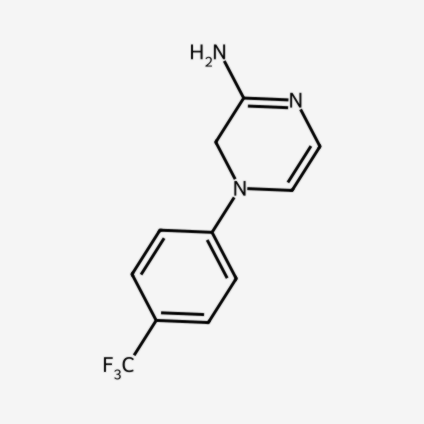 NC1=NC=CN(c2ccc(C(F)(F)F)cc2)C1